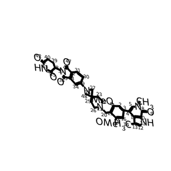 COc1cc(-c2cn(C)c(=O)c3[nH]cc(C)c23)cc(OC)c1CN1CCC2(CC1)CN(c1ccc3c(c1)C(=O)N(C1CCC(=O)NC1=O)C3=O)C2